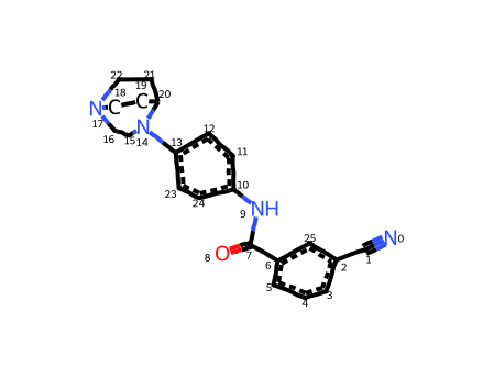 N#Cc1cccc(C(=O)Nc2ccc(N3CCN4CCC3CC4)cc2)c1